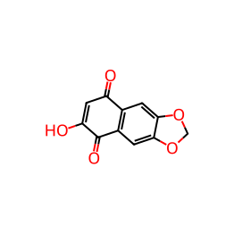 O=C1C=C(O)C(=O)c2cc3c(cc21)OCO3